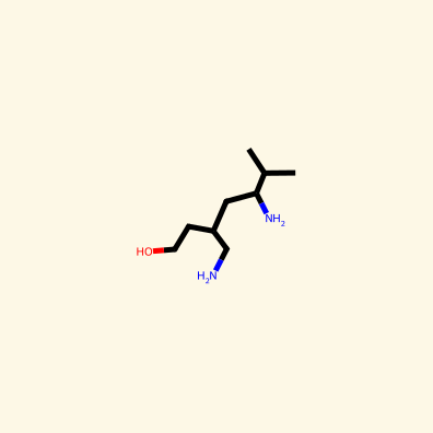 CC(C)C(N)CC(CN)CCO